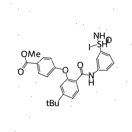 COC(=O)c1ccc(Oc2cc(C(C)(C)C)ccc2C(=O)Nc2cccc([SH](N)(=O)I)c2)cc1